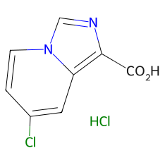 Cl.O=C(O)c1ncn2ccc(Cl)cc12